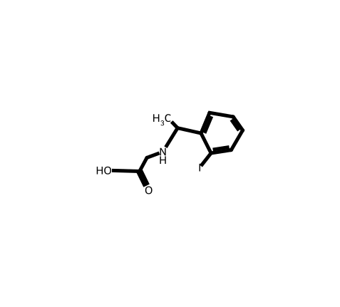 CC(NCC(=O)O)c1ccccc1I